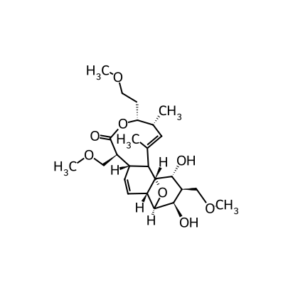 COCC[C@H]1OC(=O)[C@H](COC)[C@H]2C=C[C@H]3[C@H]4O[C@]2(/C(C)=C/[C@H]1C)[C@@H]3[C@H](O)[C@@H](COC)[C@H]4O